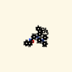 CC1(C)c2ccccc2-c2cc(N(c3cccc(-c4nc5c(ccc6ccccc65)o4)c3)c3cccc(N(c4ccccc4)c4ccccc4)c3)ccc21